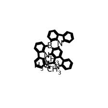 C[Si](C)(C)c1nc2ccccc2c2cc3c4c(c12)-n1c2ccccc2c2cccc(c21)B4c1cccc2c4ccccc4n-3c12